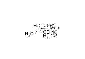 CCCCC(C)C(C)(C)C(C)(C)C(C)N1CCCO1